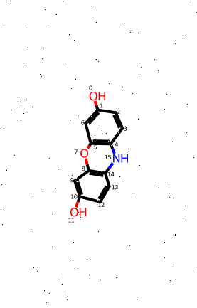 Oc1ccc2c(c1)Oc1cc(O)ccc1N2